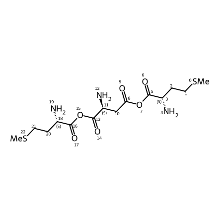 CSCC[C@H](N)C(=O)OC(=O)C[C@H](N)C(=O)OC(=O)[C@@H](N)CCSC